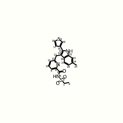 CCS(=O)(=O)NC(=O)c1cccc(Cc2c(-c3ccsc3)[nH]c3cc(C)ccc23)n1